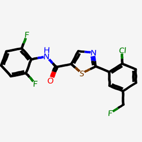 O=C(Nc1c(F)cccc1F)c1cnc(-c2cc(CF)ccc2Cl)s1